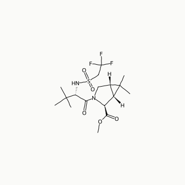 COC(=O)[C@@H]1[C@@H]2[C@H](CN1C(=O)[C@@H](NS(=O)(=O)CC(F)(F)F)C(C)(C)C)C2(C)C